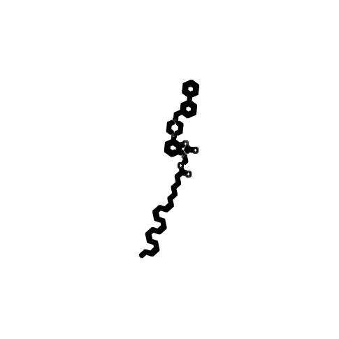 CC/C=C\C/C=C\C/C=C\C/C=C\C/C=C\CCCCCC(=O)OCn1c(=O)oc2c(N3CCN(Cc4cccc(-c5ccccc5)c4)CC3)cccc21